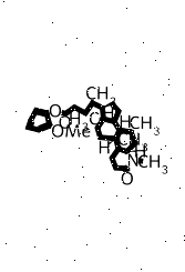 COc1ccccc1OC(=O)CC[C@@H](C)[C@H]1CC[C@H]2[C@@H]3C(C)C[C@H]4N(C)C(=O)CC[C@]4(C)[C@H]3CC[C@]12C